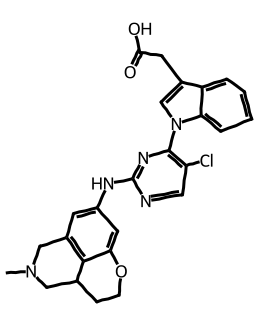 CN1Cc2cc(Nc3ncc(Cl)c(-n4cc(CC(=O)O)c5ccccc54)n3)cc3c2C(CCO3)C1